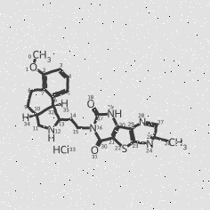 COc1cccc2c1CC[C@H]1CNC(CCn3c(=O)[nH]c4c(sc5nc(C)cnc54)c3=O)[C@@H]21.Cl